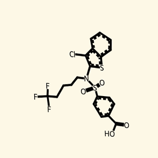 O=C(O)c1ccc(S(=O)(=O)N(CCCCC(F)(F)F)c2sc3ccccc3c2Cl)cc1